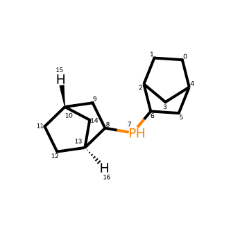 C1CC2CC1CC2PC1C[C@H]2CC[C@H]1C2